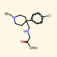 COC(=O)CNCC1(c2ccc(Cl)cc2)CCN(C(C)(C)C)CC1